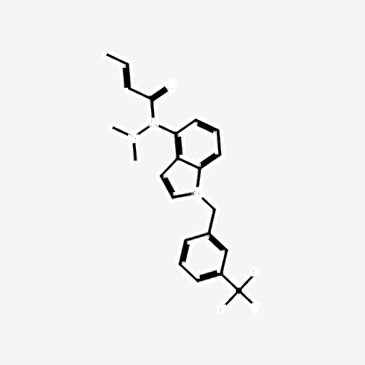 CC=CC(=O)N(c1cccc2c1ccn2Cc1cccc(C(F)(F)F)c1)N(C)C